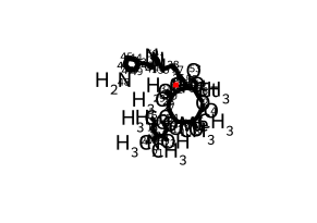 CC[C@H]1OC(=O)[C@H](C)C(=O)[C@H](C)[C@@H](O[C@@H]2OC(C)CC(N(C)C)C2O)[C@](C)(OC)C[C@@H](C)C(=O)[C@H](C)[C@H]2N(C/C=C\Cn3cc(-c4cccc(N)c4)nn3)C(=O)O[C@]12C